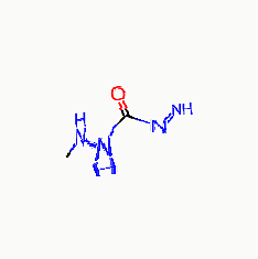 CNNC(=O)N=N